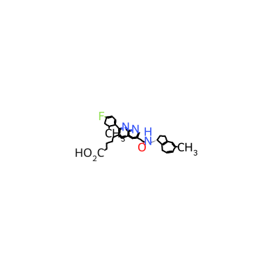 CC1=CC2=C(CC=C1)[C@H](CNC(=O)c1cnc3nc(C4=CC=C(F)CC4C)c(CCCCC(=O)O)cc3c1)CC2